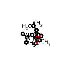 Cc1cc(C)cc(-c2ccc3c4ccc(-c5cc(C)cc(C)c5)cc4n(-c4ccc(-c5nc(-c6ccccc6)cc(-c6ccccc6)n5)cc4-c4nc(-c5ccccc5)nc(-c5ccccc5)n4)c3c2)c1